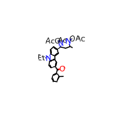 CCn1c2ccc(C(=O)c3ccccc3C)cc2c2cc(/C(CC(C)N(OC(C)=O)C(C)=O)=N\OC(C)=O)ccc21